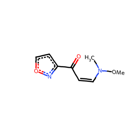 CON(C)/C=C\C(=O)c1ccon1